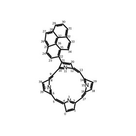 C1=CC2=NC1=CC1=NC(=CC3=NC(=CC4=NC(=C2)C=C4)C=C3c2ccc3ccc4cccc5ccc2c3c45)C=C1